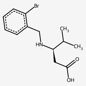 CC(C)[C@@H](CC(=O)O)NCc1ccccc1Br